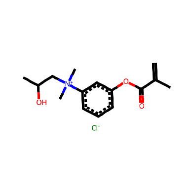 C=C(C)C(=O)Oc1cccc([N+](C)(C)CC(C)O)c1.[Cl-]